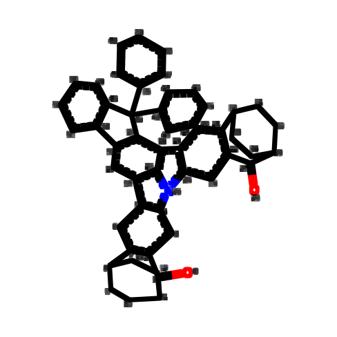 O=C1c2cc3c(cc2C2CCC1CC2)c1cc2c(c4c5cc6c(cc5n3c14)C(=O)C1CCC6CC1)C(c1ccccc1)(c1ccccc1)c1ccccc1-2